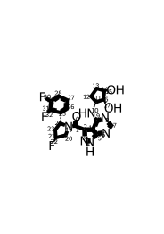 O=C(c1n[nH]c2ncnc(N[C@@H]3CC[C@@H](O)[C@H]3O)c12)N1C[C@@H](F)C[C@@H]1c1cccc(F)c1F